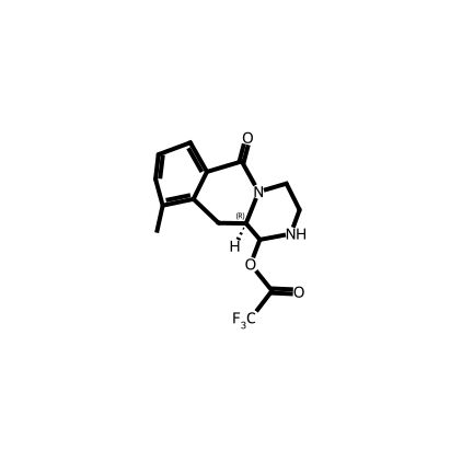 Cc1cccc2c1C[C@@H]1C(OC(=O)C(F)(F)F)NCCN1C2=O